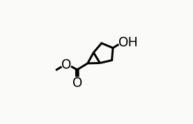 COC(=O)C1C2CC(O)CC21